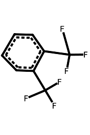 FC(F)(F)c1ccccc1C(F)(F)F